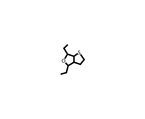 CCC1OC(CC)C2SCCC12